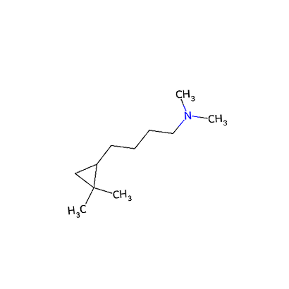 CN(C)CCCCC1CC1(C)C